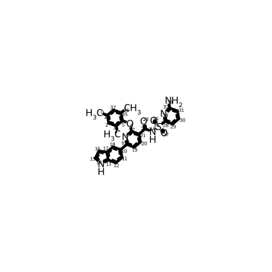 Cc1cc(C)c(Oc2nc(-c3ccc4[nH]ccc4c3)ccc2C(=O)NS(=O)(=O)c2cccc(N)n2)c(C)c1